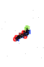 COCC1(C(=O)N2CCc3ncc(C(F)(F)F)cc3C2)CCN(Cc2cc3c(cc2Br)oc(=O)n3C)C1